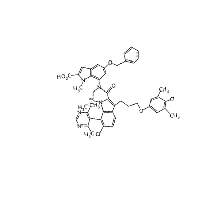 Cc1cc(OCCCc2c3n(c4c(-c5c(C)ncnc5C)c(Cl)ccc24)[C@H](C)CN(c2cc(OCc4ccccc4)cc4cc(C(=O)O)n(C)c24)C3=O)cc(C)c1Cl